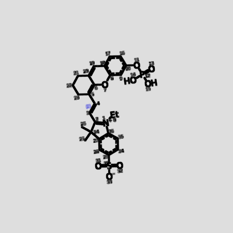 CC[N+]1=C(/C=C/C2=C3Oc4cc(OP(=O)(O)O)ccc4C=C3CCC2)C(C)(C)c2cc(S(=O)(=O)[O-])ccc21